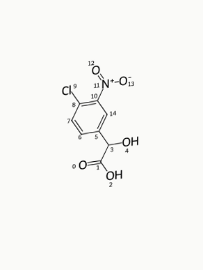 O=C(O)C(O)c1ccc(Cl)c([N+](=O)[O-])c1